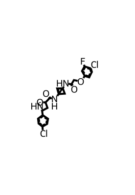 O=C(COc1ccc(Cl)c(F)c1)NC12CC(NC(=O)C3CC(c4ccc(Cl)cc4)NO3)(C1)C2